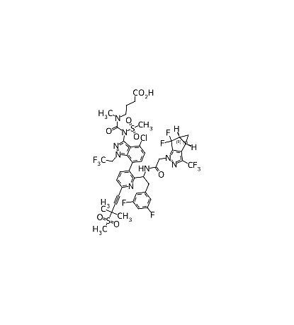 CN(CCCC(=O)O)C(=O)N(c1nn(CC(F)(F)F)c2c(-c3ccc(C#CC(C)(C)S(C)(=O)=O)nc3C(Cc3cc(F)cc(F)c3)NC(=O)Cn3nc(C(F)(F)F)c4c3C(F)(F)[C@@H]3C[C@H]43)ccc(Cl)c12)S(C)(=O)=O